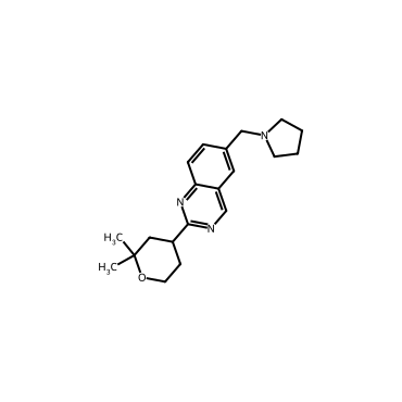 CC1(C)CC(c2ncc3cc(CN4CCCC4)ccc3n2)CCO1